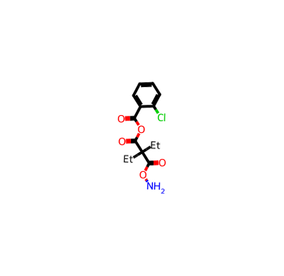 CCC(CC)(C(=O)ON)C(=O)OC(=O)c1ccccc1Cl